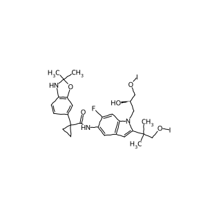 CC1(C)Nc2ccc(C3(C(=O)Nc4cc5cc(C(C)(C)COI)n(C[C@@H](O)COI)c5cc4F)CC3)cc2O1